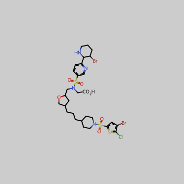 O=C(O)CN(CC1CC(CCCC2CCN(S(=O)(=O)c3cc(Br)c(Cl)s3)CC2)CO1)S(=O)(=O)c1ccc(C2NCCCC2Br)nc1